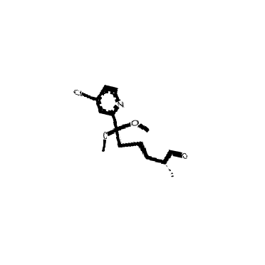 COC(CCC[C@@H](C)C=O)(OC)c1cc(Cl)ccn1